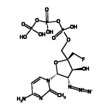 C=C1N=C(N)C=CN1[C@@H]1O[C@](CF)(COP(=O)(O)OP(=O)(O)OP(=O)(O)O)[C@@H](O)[C@@H]1N=[N+]=[N-]